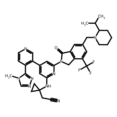 CC(C)C1CCCCN1Cc1cc2c(c(C(F)(F)F)c1)CN(c1cc(-c3cnccc3-c3nncn3C)cc(NC3(CC#N)CC3)n1)C2=O